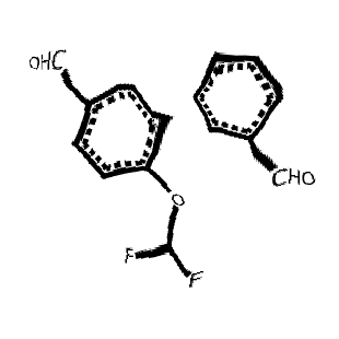 O=Cc1ccc(OC(F)F)cc1.O=Cc1ccccc1